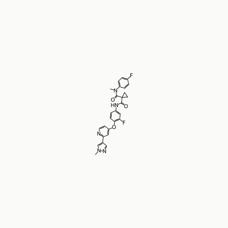 CN(C(=O)C1(C(=O)Nc2ccc(Oc3ccnc(-c4cnn(C)c4)c3)c(F)c2)CC1)c1ccc(F)cc1